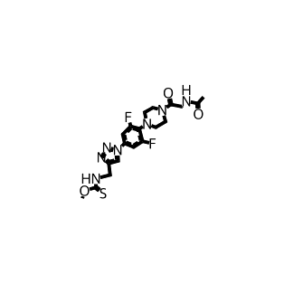 COC(=S)NCc1cn(-c2cc(F)c(N3CCN(C(=O)CNC(C)=O)CC3)c(F)c2)nn1